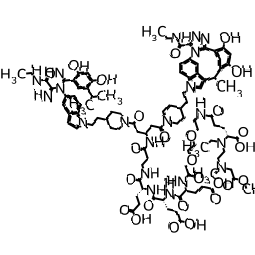 CCNC(=O)C(=N)N(C(=N)c1cc(C(C)C)c(O)cc1O)c1ccc2c(ccn2CCC2CCN(C(=O)CC(CC(=O)N3CCC(CCn4cc5c6cc(ccc64)-n4c(C(=O)NCC)nnc4-c4cc(c(O)cc4O)C5C)CC3)NC(=O)CCNC(=O)[C@@H](CCC(=O)O)NC(=O)[C@@H](CCC(=O)O)NC(=O)C(CCC(=O)O)NC(=O)COCCOCCNC(=O)CC[C@H](C(=O)O)N(CC)CCN(C)CC(=O)OC)CC2)c1